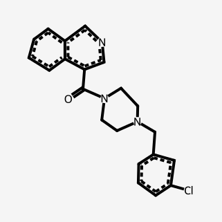 O=C(c1cncc2ccccc12)N1CCN(Cc2cccc(Cl)c2)CC1